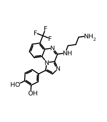 NCCCNc1nc2c(C(F)(F)F)cccc2n2c(-c3ccc(O)c(O)c3)cnc12